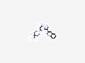 CNC1(C(N)=O)CCN(c2cc(N)n3ncc(-c4cnc5ccccc5c4)c3n2)CC1